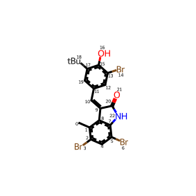 Cc1c(Br)cc(Br)c2c1C(=Cc1cc(Br)c(O)c(C(C)(C)C)c1)C(=O)N2